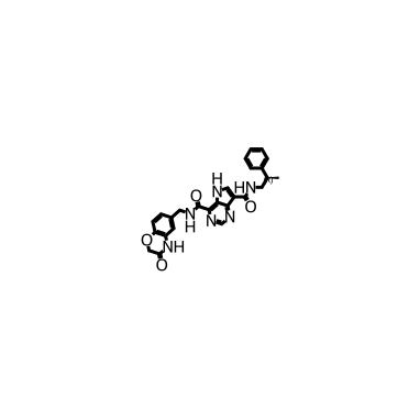 C[C@@H](CNC(=O)c1c[nH]c2c(C(=O)NCc3ccc4c(c3)NC(=O)CO4)ncnc12)c1ccccc1